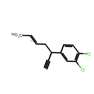 C#CC(C/C=C/C(=O)O)c1ccc(Cl)c(Cl)c1